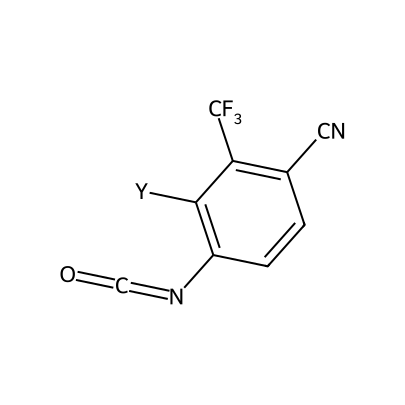 N#Cc1ccc(N=C=O)[c]([Y])c1C(F)(F)F